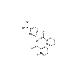 O=C([O-])c1ccccn1.O=C([O-])c1ccccn1.O=C([O-])c1ccccn1.[Ir+3]